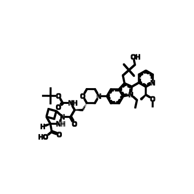 CCn1c(-c2cccnc2[C@H](C)OC)c(CC(C)(C)CO)c2cc(N3CCO[C@@H](C[C@H](NC(=O)OC(C)(C)C)C(=O)N4N[C@H](C(=O)O)C5CC4C5)C3)ccc21